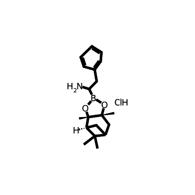 CC1(C)C2C[C@@H]1[C@]1(C)OB(C(N)Cc3ccccc3)O[C@]1(C)C2.Cl